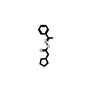 C/C(=N\OC(=O)CC1CCCC1)c1ccccc1